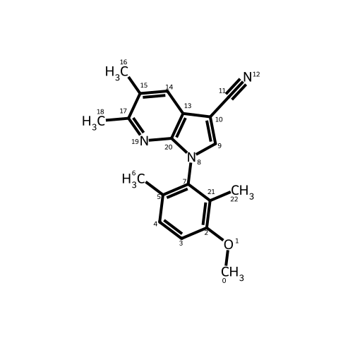 COc1ccc(C)c(-n2cc(C#N)c3cc(C)c(C)nc32)c1C